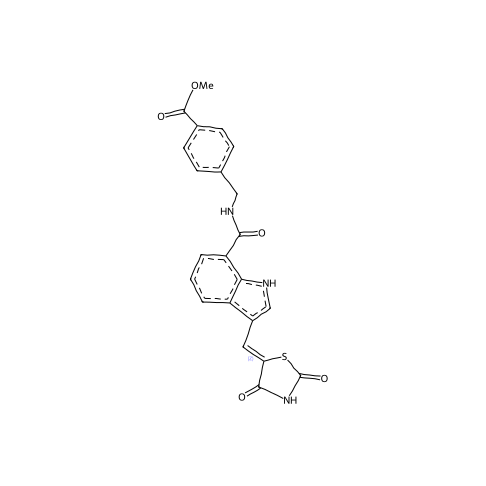 COC(=O)c1ccc(CNC(=O)c2cccc3c(/C=C4\SC(=O)NC4=O)c[nH]c23)cc1